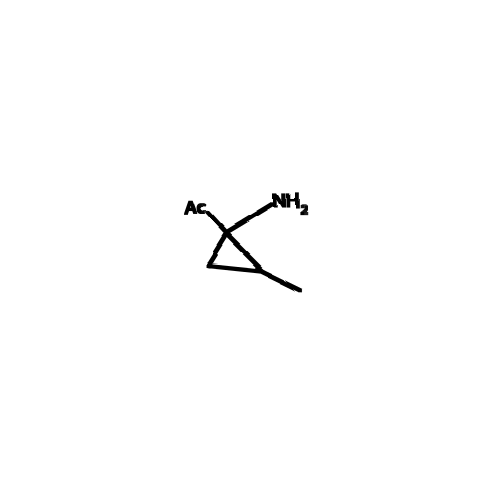 CC(=O)C1(N)CC1C